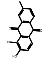 Cc1ccc2c(c1)C(=O)c1c(ccc(O)c1O)C2=O